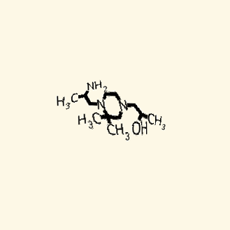 CC(N)CN1CCN(CC(C)O)CC1(C)C